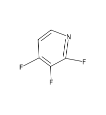 Fc1ccnc(F)c1F